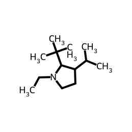 CCN1CCC(C(C)C)C1C(C)(C)C